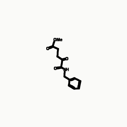 COC(=O)CCC(=O)C(=O)NCc1ccccc1